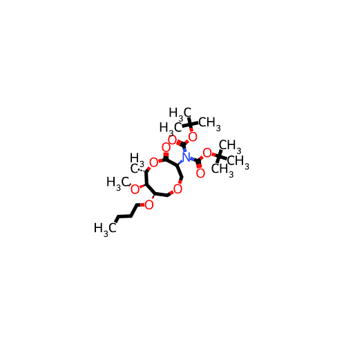 CCCCO[C@H]1COC[C@H](N(C(=O)OC(C)(C)C)C(=O)OC(C)(C)C)C(=O)O[C@@H](C)[C@@H]1OC